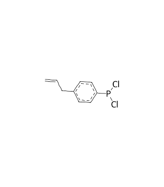 C=CCc1ccc(P(Cl)Cl)cc1